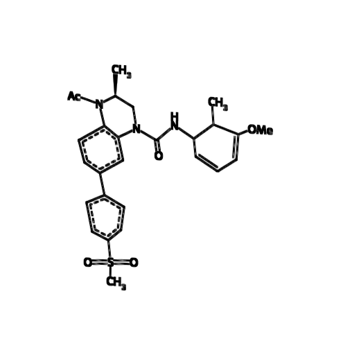 COC1=CC=CC(NC(=O)N2C[C@H](C)N(C(C)=O)c3ccc(-c4ccc(S(C)(=O)=O)cc4)cc32)C1C